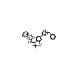 CC1(C)COc2cc(-c3cnn(Cc4ccccc4)c3)ccc2C1NC(=O)O[C@H]1CN2CCC1CC2